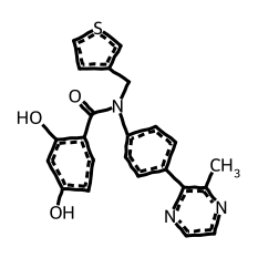 Cc1nccnc1-c1ccc(N(Cc2ccsc2)C(=O)c2ccc(O)cc2O)cc1